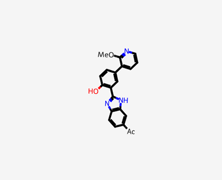 COc1ncccc1-c1ccc(O)c(-c2nc3ccc(C(C)=O)cc3[nH]2)c1